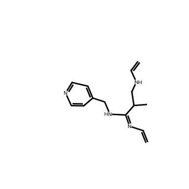 C=C/N=C(/NCc1ccncc1)C(C)CNC=C